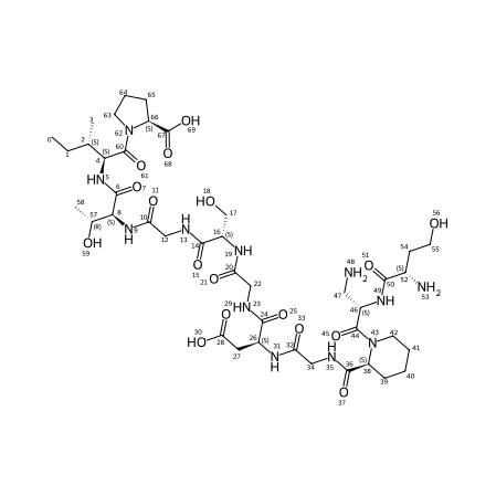 CC[C@H](C)[C@H](NC(=O)[C@@H](NC(=O)CNC(=O)[C@H](CO)NC(=O)CNC(=O)[C@H](CC(=O)O)NC(=O)CNC(=O)[C@@H]1CCCCN1C(=O)[C@H](CN)NC(=O)[C@@H](N)CCO)[C@@H](C)O)C(=O)N1CCC[C@H]1C(=O)O